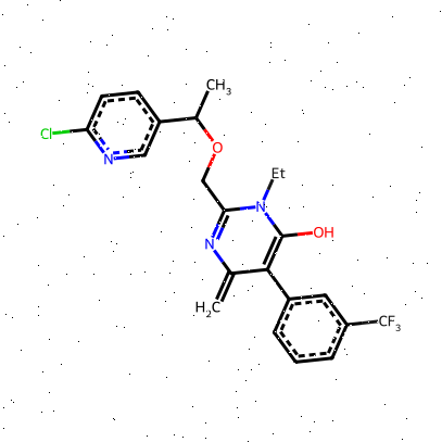 C=C1N=C(COC(C)c2ccc(Cl)nc2)N(CC)C(O)=C1c1cccc(C(F)(F)F)c1